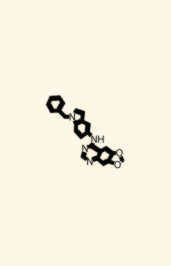 c1ccc(Cn2ccc3cc(Nc4ncnc5cc6c(cc45)OCO6)ccc32)cc1